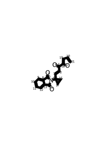 O=C(/C=C/C1(N2C(=O)c3ccccc3C2=O)CC1)c1ccco1